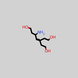 NC(C=C(CCO)CCO)CCO